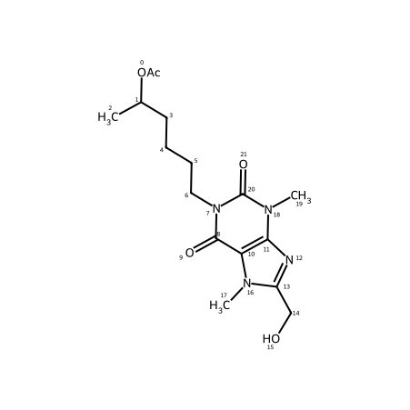 CC(=O)OC(C)CCCCn1c(=O)c2c(nc(CO)n2C)n(C)c1=O